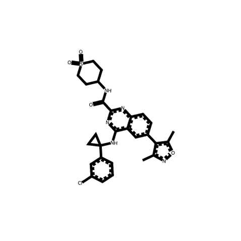 Cc1noc(C)c1-c1ccc2nc(C(=O)NC3CCS(=O)(=O)CC3)nc(NC3(c4cccc(Cl)c4)CC3)c2c1